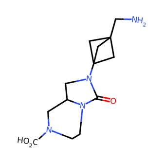 NCC12CC(N3CC4CN(C(=O)O)CCN4C3=O)(C1)C2